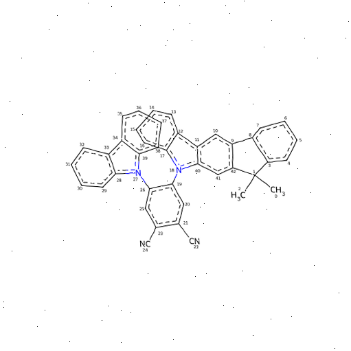 CC1(C)c2ccccc2-c2cc3c4ccccc4n(-c4cc(C#N)c(C#N)cc4-n4c5ccccc5c5ccccc54)c3cc21